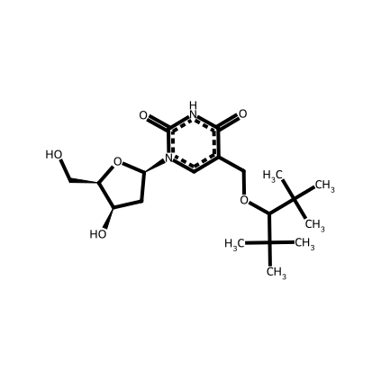 CC(C)(C)C(OCc1cn([C@H]2C[C@@H](O)[C@@H](CO)O2)c(=O)[nH]c1=O)C(C)(C)C